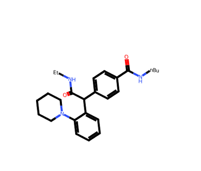 CCCCNC(=O)c1ccc(C(C(=O)NCC)c2ccccc2N2CCCCC2)cc1